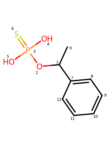 CC(OP(O)(O)=S)c1ccccc1